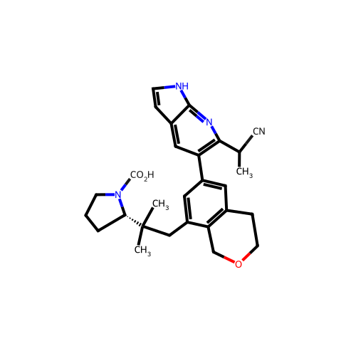 CC(C#N)c1nc2[nH]ccc2cc1-c1cc2c(c(CC(C)(C)[C@@H]3CCCN3C(=O)O)c1)COCC2